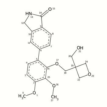 COc1ccc(-c2ccc3c(c2)CNC3=O)c(OCC2(CO)COC2)c1OC